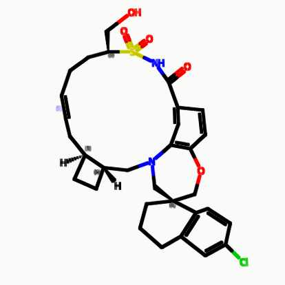 O=C1NS(=O)(=O)[C@H](CO)CC/C=C/C[C@@H]2CC[C@H]2CN2C[C@@]3(CCCc4cc(Cl)ccc43)COc3ccc1cc32